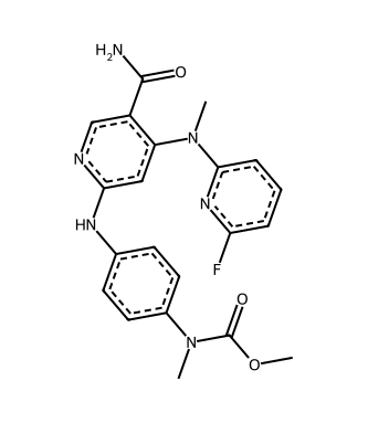 COC(=O)N(C)c1ccc(Nc2cc(N(C)c3cccc(F)n3)c(C(N)=O)cn2)cc1